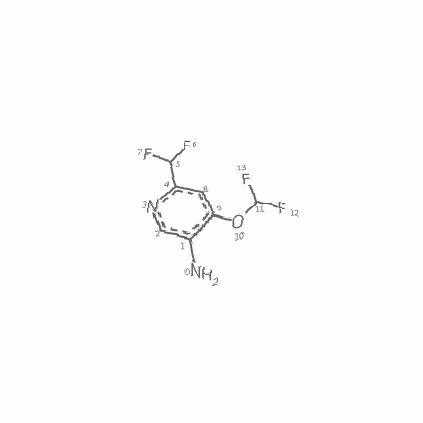 Nc1cnc(C(F)F)cc1OC(F)F